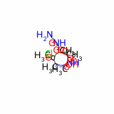 COc1cc2cc(c1Cl)CCC(OC(=O)CCNC(=O)CCCN)C1(C)OC1C(C)C1CC(O)(NC(=O)O1)C(OC)/C=C/C=C(\C)C2